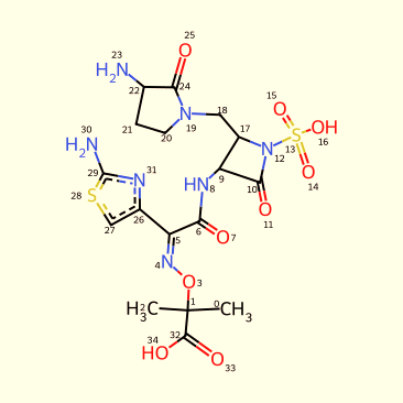 CC(C)(O/N=C(\C(=O)NC1C(=O)N(S(=O)(=O)O)C1CN1CCC(N)C1=O)c1csc(N)n1)C(=O)O